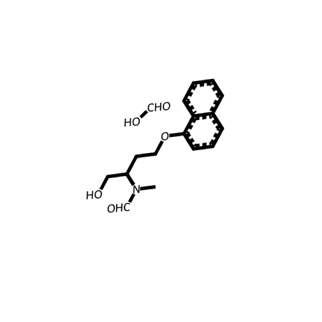 CN(C=O)C(CO)CCOc1cccc2ccccc12.O=CO